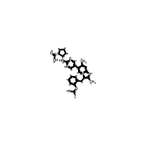 Cc1cc2nc(C)c(Cc3ccccc3OC(F)F)n2cc1-c1cnc(N[C@H]2CCC[C@H]2C(=O)O)nc1